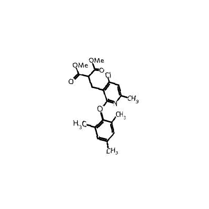 COC(=O)C(Cc1c(Cl)cc(C)nc1Oc1c(C)cc(C)cc1C)C(=O)OC